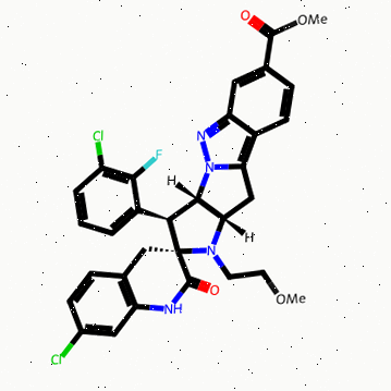 COCCN1[C@H]2Cc3c4ccc(C(=O)OC)cc4nn3[C@H]2[C@H](c2cccc(Cl)c2F)[C@@]12Cc1ccc(Cl)cc1NC2=O